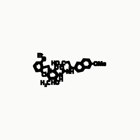 CCOc1cccc(Cl)c1Cn1cc(C)c(O)c(NC(=O)N[C@@H](CC(=O)O)c2ccc3cc(OC)ccc3c2)c1=O